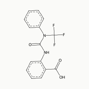 O=C(O)c1ccccc1NC(=O)N(c1ccccc1)C(F)(F)F